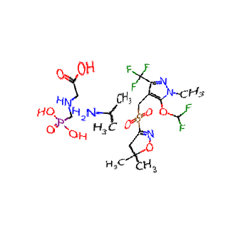 CC(C)N.Cn1nc(C(F)(F)F)c(CS(=O)(=O)C2=NOC(C)(C)C2)c1OC(F)F.O=C(O)CNCP(=O)(O)O